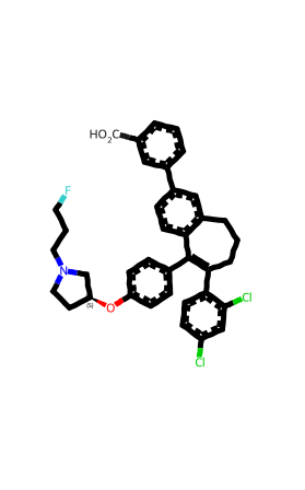 O=C(O)c1cccc(-c2ccc3c(c2)CCCC(c2ccc(Cl)cc2Cl)=C3c2ccc(O[C@H]3CCN(CCCF)C3)cc2)c1